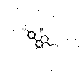 Cc1ccc(-c2ccnc3c2CCCC3CN)cc1.Cl.Cl